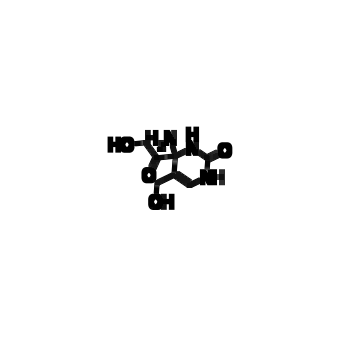 NC1(C(=O)CO)NC(=O)NC=C1CO